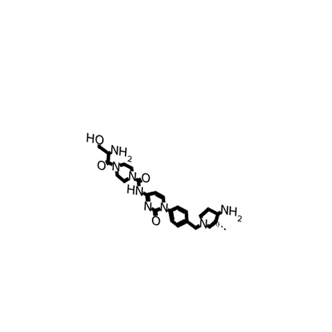 C[C@@H]1CN(Cc2ccc(-n3ccc(NC(=O)N4CCN(C(=O)C(N)CO)CC4)nc3=O)cc2)CCC1N